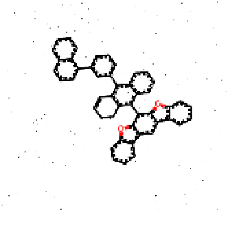 C1=Cc2c(c(-c3c4oc5ccccc5c4cc4c3oc3ccccc34)c3ccccc3c2-c2cccc(-c3cccc4ccccc34)c2)CC1